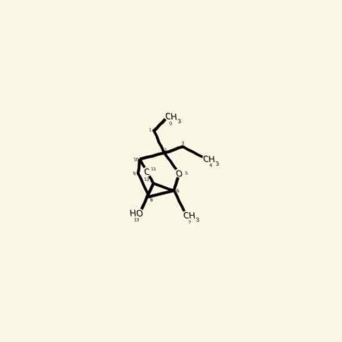 CCC1(CC)OC2(C)CCC1CC2O